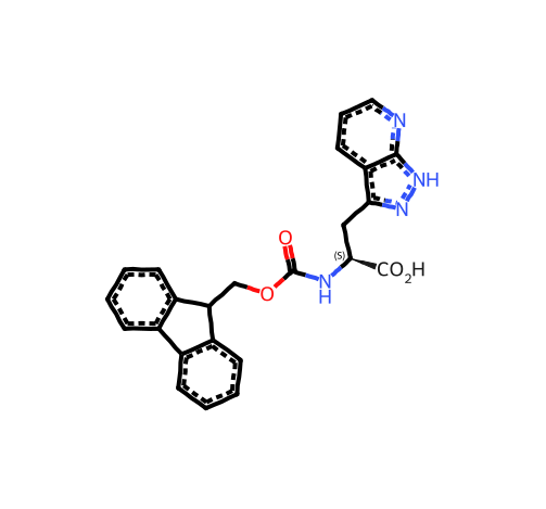 O=C(N[C@@H](Cc1n[nH]c2ncccc12)C(=O)O)OCC1c2ccccc2-c2ccccc21